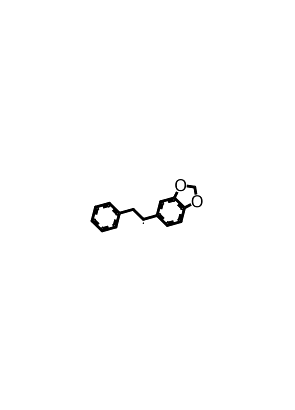 [CH](Cc1ccccc1)c1ccc2c(c1)OCO2